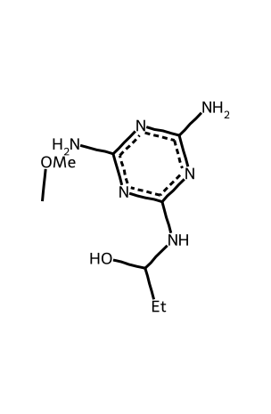 CCC(O)Nc1nc(N)nc(N)n1.COC